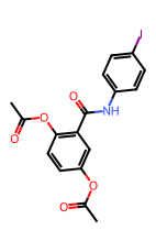 CC(=O)Oc1ccc(OC(C)=O)c(C(=O)Nc2ccc(I)cc2)c1